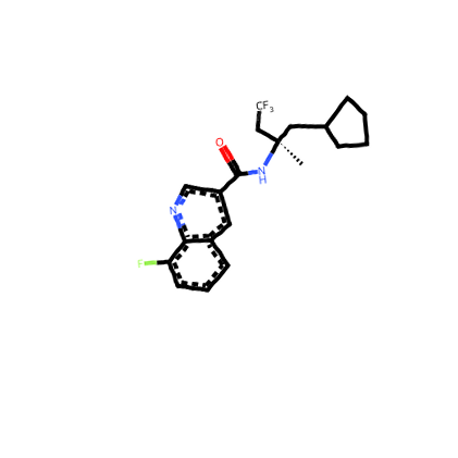 C[C@@](CC1CCCC1)(CC(F)(F)F)NC(=O)c1cnc2c(F)cccc2c1